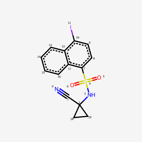 N#CC1(NS(=O)(=O)c2ccc(I)c3ccccc23)CC1